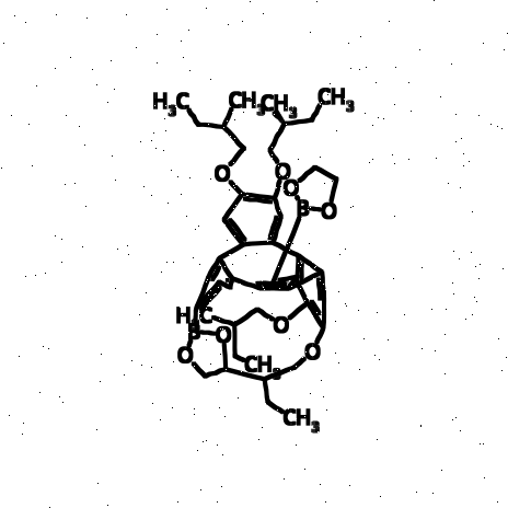 CCC(C)COc1cc2c3cc1OCC(CC)C1COB(O1)c1ccc(c(c1)-c1cc(OCC(C)CC)c(OC[C@@H](C)CC)cc1-2)-c1ccc(B2OCCO2)cc1-3